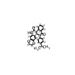 CC(C)c1ccc(N2C(=O)c3ccccc3[C@H](C(=O)O)[C@H]2c2ccc3c(c2)OCCO3)cc1